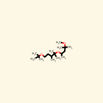 COC(C)(C)CC(C)OC(C)(C)C(C)CCOC(C)(C)C